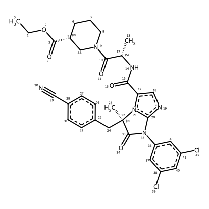 CCOC(=O)[C@@H]1CCCN(C(=O)[C@H](C)NC(=O)c2cnc3n2[C@](C)(Cc2ccc(C#N)cc2)C(=O)N3c2cc(Cl)cc(Cl)c2)C1